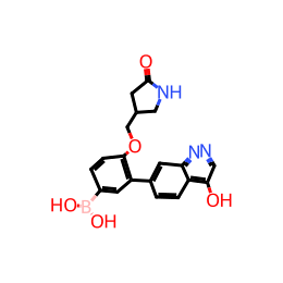 O=C1CC(COc2ccc(B(O)O)cc2-c2ccc3c(O)cnnc3c2)CN1